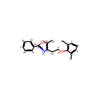 Cc1cccc(C)c1OCCc1nc(-c2ccccc2)oc1C